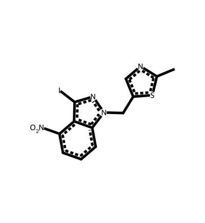 Cc1ncc(Cn2nc(I)c3c([N+](=O)[O-])cccc32)s1